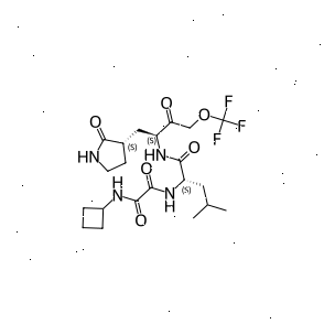 CC(C)C[C@H](NC(=O)C(=O)NC1CCC1)C(=O)N[C@@H](C[C@@H]1CCNC1=O)C(=O)COC(F)(F)F